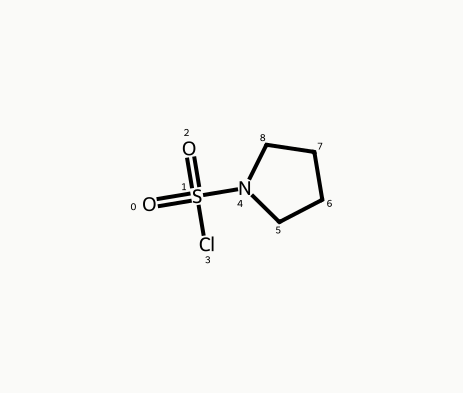 O=S(=O)(Cl)N1CCCC1